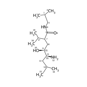 CC(C)CNC(=O)C(C[C@H](O)[C@@H](N)CC(C)C)C(C)C